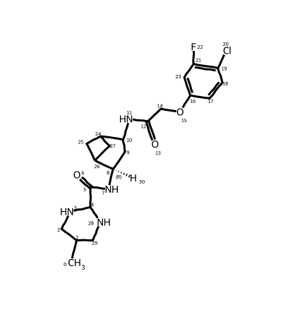 CC1CNC(C(=O)N[C@@H]2CC(NC(=O)COc3ccc(Cl)c(F)c3)C3CC2C3)NC1